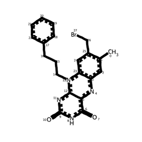 Cc1cc2nc3c(=O)[nH]c(=O)nc-3n(CCCc3ccccc3)c2cc1CBr